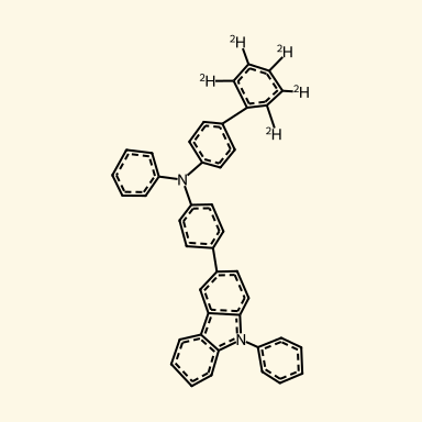 [2H]c1c([2H])c([2H])c(-c2ccc(N(c3ccccc3)c3ccc(-c4ccc5c(c4)c4ccccc4n5-c4ccccc4)cc3)cc2)c([2H])c1[2H]